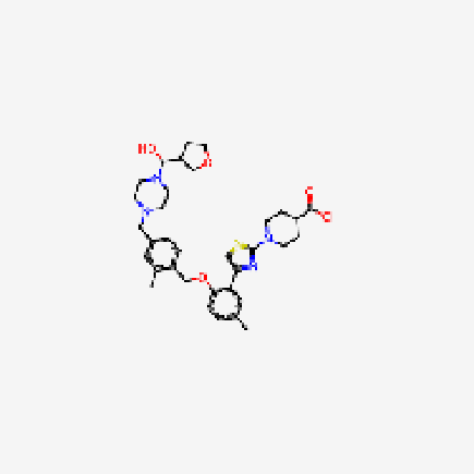 Cc1ccc(OCc2ccc(CN3CCN(C(O)C4CCOC4)CC3)cc2C)c(-c2csc(N3CCC(C(=O)O)CC3)n2)c1